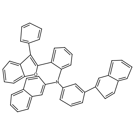 c1ccc(-c2c(-c3ccccc3N(c3cccc(-c4ccc5ccccc5c4)c3)c3ccc4ccccc4c3)oc3ccccc23)cc1